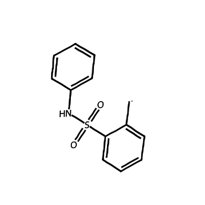 [CH2]c1ccccc1S(=O)(=O)Nc1ccccc1